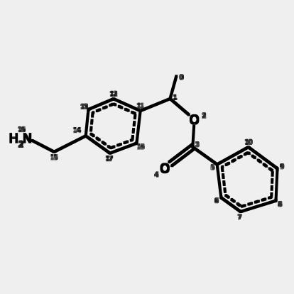 CC(OC(=O)c1ccccc1)c1ccc(CN)cc1